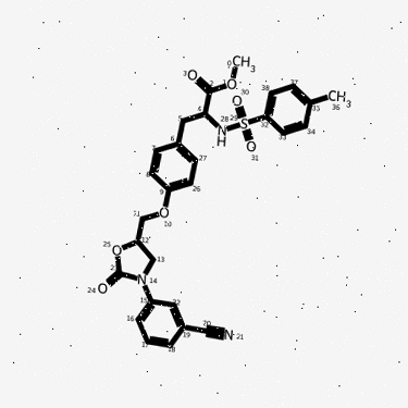 COC(=O)C(Cc1ccc(OCC2CN(c3cccc(C#N)c3)C(=O)O2)cc1)NS(=O)(=O)c1ccc(C)cc1